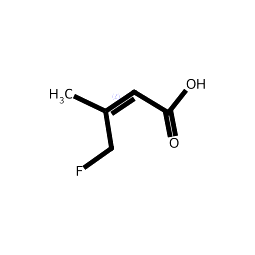 C/C(=C/C(=O)O)CF